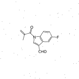 C=C(C)C(=O)n1cc(C=O)c2cc(F)ccc21